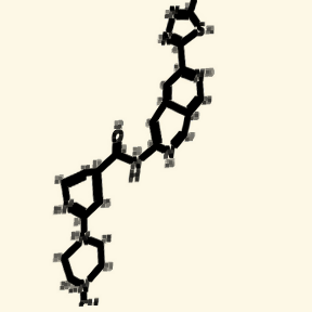 Cc1nnc(-c2cc3cc(NC(=O)c4ccnc(N5CCN(C)CC5)c4)ncc3cn2)s1